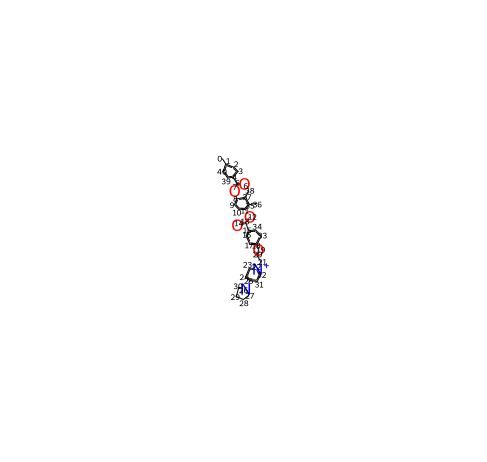 Cc1ccc(C(=O)Oc2ccc(OC(=O)c3ccc(OCC[n+]4ccc(N5CCCC5)cc4)cc3)c(C)c2C)cc1